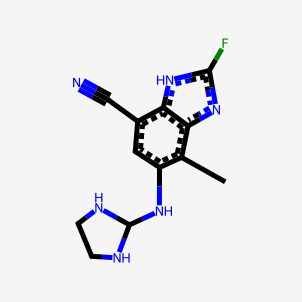 Cc1c(NC2NCCN2)cc(C#N)c2[nH]c(F)nc12